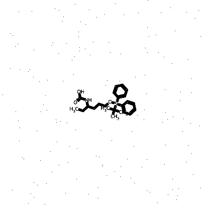 CCC(CCCO[Si](c1ccccc1)(c1ccccc1)C(C)(C)C)NC(=O)O